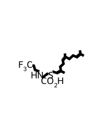 CC(C)=CCCC(C)=CCCC(C)=CCSC[C@H](NCCCC(F)(F)F)C(=O)O